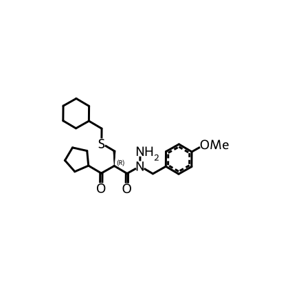 COc1ccc(CN(N)C(=O)[C@H](CSCC2CCCCC2)C(=O)C2CCCC2)cc1